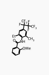 CCc1cc(C(F)(C(F)(F)F)C(F)(F)C(F)(F)F)cc(C)c1NC(=O)c1ccccc1OC